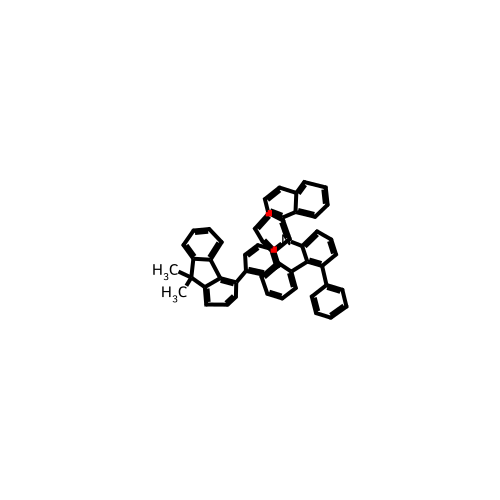 CC1(C)c2ccccc2-c2c(-c3ccc(N(c4cccc(-c5ccccc5)c4-c4ccccc4-c4ccccc4)c4cccc5ccccc45)cc3)cccc21